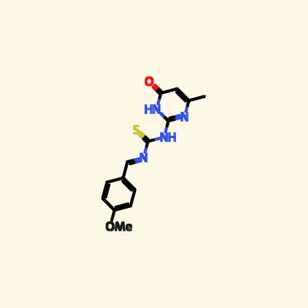 COc1ccc(/C=N/C(=S)Nc2nc(C)cc(=O)[nH]2)cc1